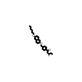 CCCCCCOc1ccc2cc(OCc3ccc(C(=O)C[C@H](C)CC)cc3)ccc2c1